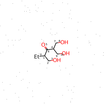 CCC(CO)C(=O)C(CO)CO